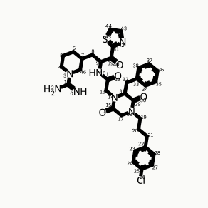 N=C(N)N1CCCC(CC(NC(=O)CN2C(=O)CN(CCCc3ccc(Cl)cc3)C(=O)C2Cc2ccccc2)C(=O)c2nccs2)C1